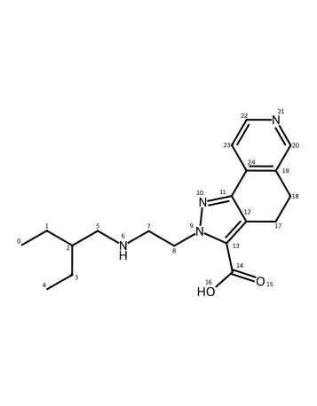 CCC(CC)CNCCn1nc2c(c1C(=O)O)CCc1cnccc1-2